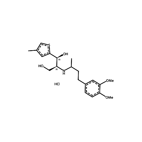 COc1ccc(CCC(C)N[C@@H](CO)[C@H](O)c2cc(C)cs2)cc1OC.Cl